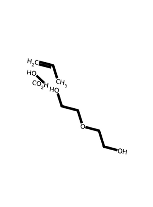 C=CC.O=C(O)O.OCCOCCO